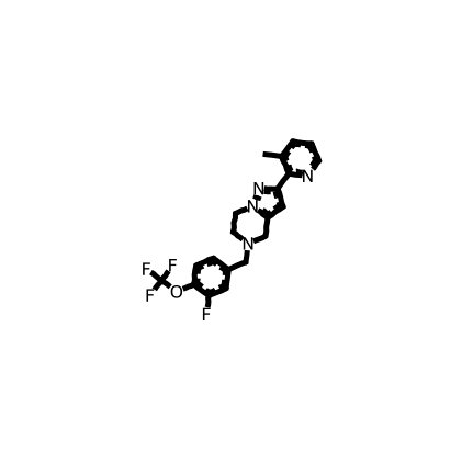 Cc1cccnc1-c1cc2n(n1)CCN(Cc1ccc(OC(F)(F)F)c(F)c1)C2